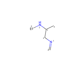 C=NCC(C)NCC